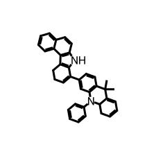 CC1(C)C2=CC=CCC2N(c2ccccc2)c2cc(C3=CCCc4c3[nH]c3ccc5ccccc5c43)ccc21